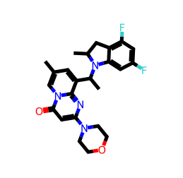 Cc1cc(C(C)N2c3cc(F)cc(F)c3CC2C)c2nc(N3CCOCC3)cc(=O)n2c1